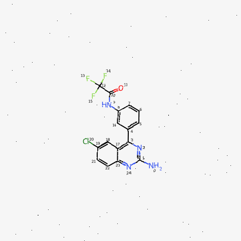 Nc1nc(-c2cccc(NC(=O)C(F)(F)F)c2)c2cc(Cl)ccc2n1